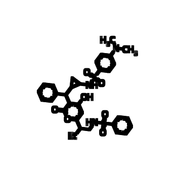 CCC(CNS(=O)(=O)c1ccccc1)c1cc(O)c(C(c2ccccc2)C2CC2NS(=O)(=O)c2ccc(N(C)C)cc2)c(=O)o1